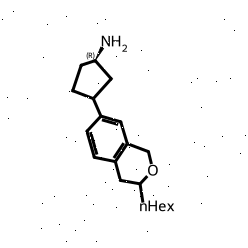 CCCCCCC1Cc2ccc(C3CC[C@@H](N)C3)cc2CO1